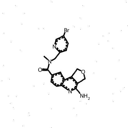 CN(Cc1ccc(Br)cn1)C(=O)c1ccc2nc(N)c3c(c2c1)COC3